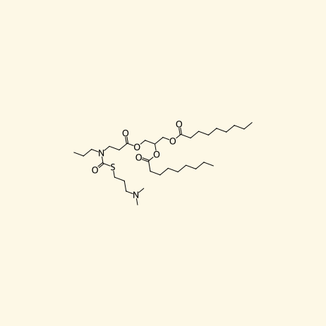 CCCCCCCCC(=O)OCC(COC(=O)CCN(CCC)C(=O)SCCCN(C)C)OC(=O)CCCCCCCC